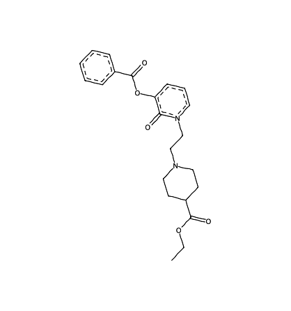 CCOC(=O)C1CCN(CCn2cccc(OC(=O)c3ccccc3)c2=O)CC1